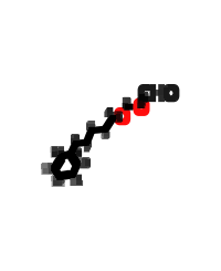 O=COCOCCCCCc1ccccc1